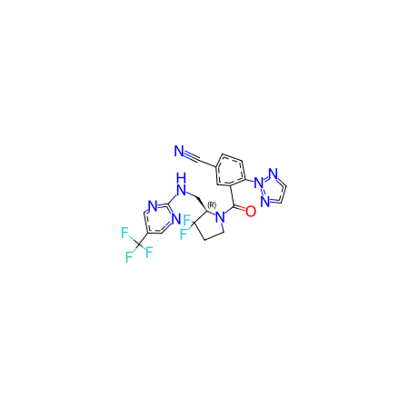 N#Cc1ccc(-n2nccn2)c(C(=O)N2CCC(F)(F)[C@H]2CNc2ncc(C(F)(F)F)cn2)c1